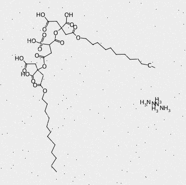 CCCCCCCCCCCCOC(=O)CC(CC(=O)O)(OC(=O)CC(C(=O)OC(CC(=O)O)(CC(=O)OCCCCCCCCCCCC)C(=O)O)S(=O)(=O)O)C(=O)O.N.N.N.N